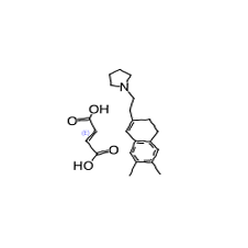 Cc1cc2c(cc1C)CCC(CCN1CCCC1)=C2.O=C(O)/C=C/C(=O)O